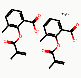 C=C(C)C(=O)Oc1c(C)cccc1C(=O)[O-].C=C(C)C(=O)Oc1c(C)cccc1C(=O)[O-].[Zn+2]